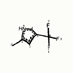 Cc1cc(C(F)(F)F)c[nH]1